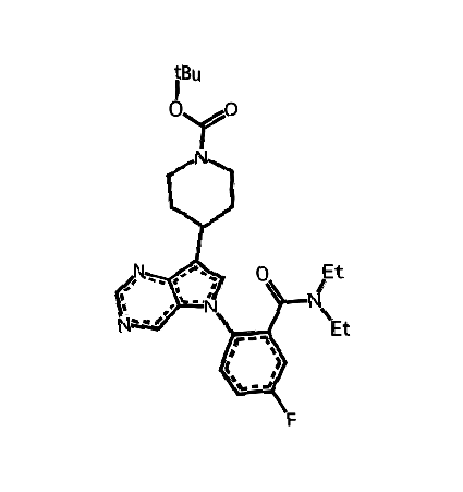 CCN(CC)C(=O)c1cc(F)ccc1-n1cc(C2CCN(C(=O)OC(C)(C)C)CC2)c2ncncc21